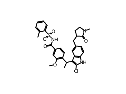 COc1cc(C(=O)NS(=O)(=O)c2ccccc2C)ccc1C(C)c1c(Cl)[nH]c2ccc(CC3CCN(C)C3=O)cc12